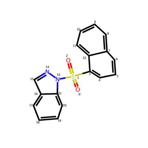 O=S(=O)(c1cccc2ccccc12)n1ncc2ccccc21